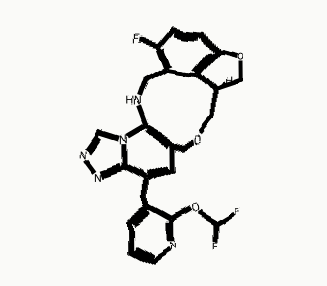 Fc1ccc2c3c1CNc1c(cc(-c4cccnc4OC(F)F)c4nncn14)OC[C@@H]3CO2